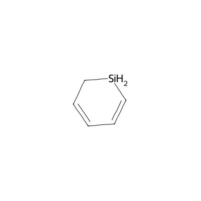 C1=CC[SiH2]C=C1